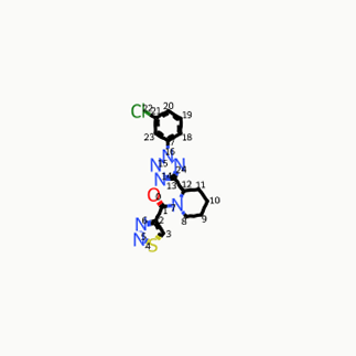 O=C(c1csnn1)N1CCCCC1c1nnn(-c2cccc(Cl)c2)n1